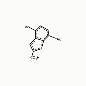 CC(=O)c1ccc(C(C)=O)c2sc(C(=O)O)cc12